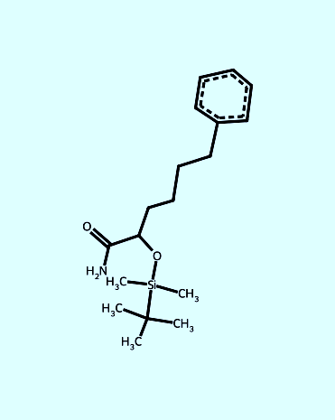 CC(C)(C)[Si](C)(C)OC(CCCCc1ccccc1)C(N)=O